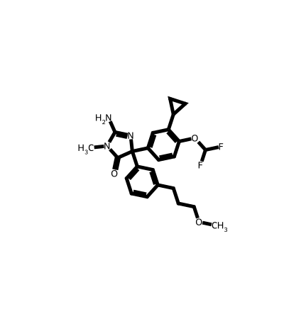 COCCCc1cccc(C2(c3ccc(OC(F)F)c(C4CC4)c3)N=C(N)N(C)C2=O)c1